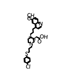 COc1ccc2nccc(CCC[C@@H]3CCN(CCCSc4ccc(Cl)cc4)C[C@@H]3CC(=O)O)c2c1